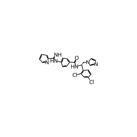 N=C(Nc1ccc(C(=O)N[C@@H](Cn2ccnc2)c2ccc(Cl)cc2Cl)cc1)c1ccccn1